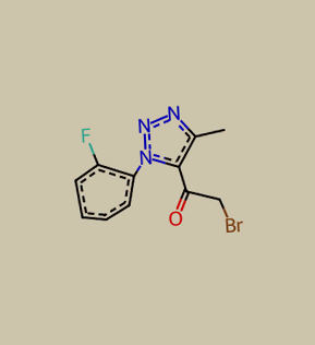 Cc1nnn(-c2ccccc2F)c1C(=O)CBr